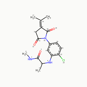 CNC(=O)C(C)Nc1cc(N2C(=O)CC(=C(C)C)C2=O)ccc1Cl